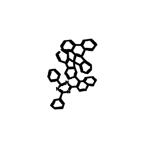 C=CC1=C(/C=C\C)c2ccc(-c3c(-c4nc(-c5ccccc5)nc(-c5ccccc5)n4)ccc4ccccc34)cc2C12c1ccccc1-c1c2c2ccccc2c2ccccc12